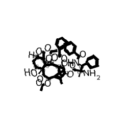 CC(=O)O[C@H]1C(=O)[C@@]2(C)[C@H]([C@H](OC(=O)c3ccccc3)[C@]3(O)C[C@H](OC(=O)[C@@](C)(N)[C@@H](NC(=O)c4ccccc4)c4ccccc4)C(C)=C1C3(C)C)[C@]1(OC(C)=O)CO[C@@H]1C[C@@H]2O